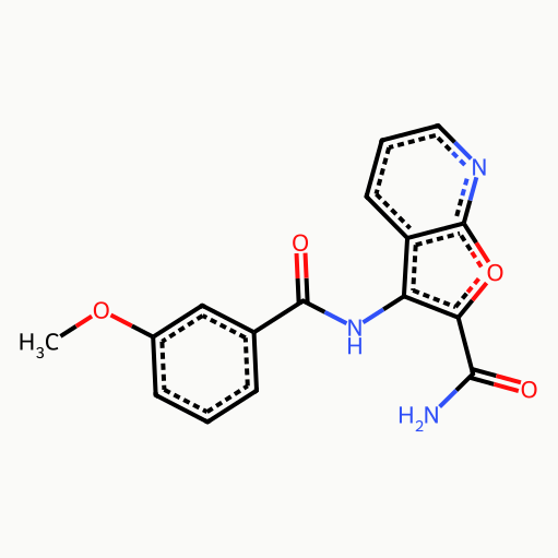 COc1cccc(C(=O)Nc2c(C(N)=O)oc3ncccc23)c1